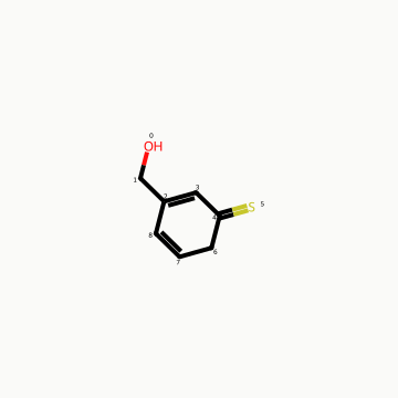 OCC1=CC(=S)CC=C1